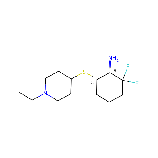 CCN1CCC(S[C@H]2CCCC(F)(F)[C@@H]2N)CC1